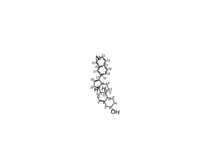 C[C@@]12CC=C3C[C@@H](O)CC[C@]3(C)[C@H]1CC[C@]1(C)C(c3ccc4ccncc4c3)=CC[C@@H]21